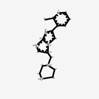 Cc1ncccc1-c1cn2c(CN3CCOCC3)csc2n1